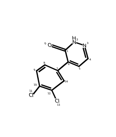 O=c1[nH]nccc1-c1ccc(Cl)c(Cl)c1